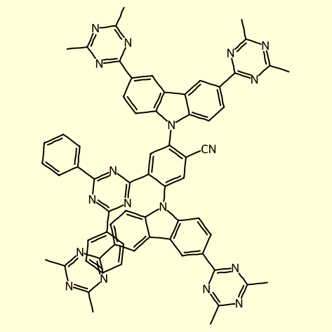 Cc1nc(C)nc(-c2ccc3c(c2)c2cc(-c4nc(C)nc(C)n4)ccc2n3-c2cc(-c3nc(-c4ccccc4)nc(-c4ccccc4)n3)c(-n3c4ccc(-c5nc(C)nc(C)n5)cc4c4cc(-c5nc(C)nc(C)n5)ccc43)cc2C#N)n1